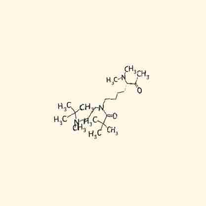 CC(=O)[C@H](CCCCN(CCN(C)C(C)(C)C)C(=O)C(C)(C)C)N(C)C